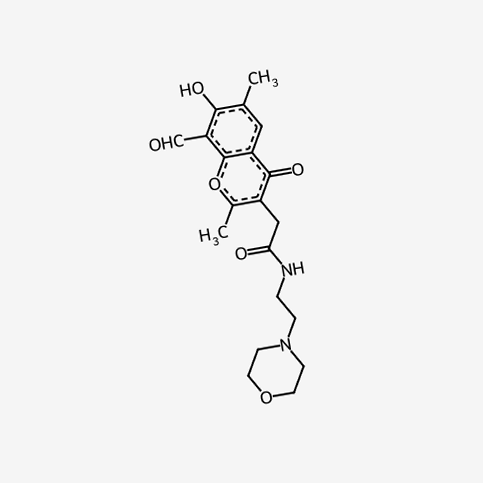 Cc1cc2c(=O)c(CC(=O)NCCN3CCOCC3)c(C)oc2c(C=O)c1O